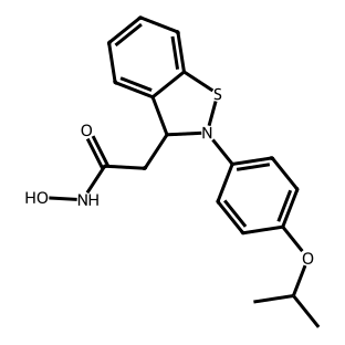 CC(C)Oc1ccc(N2Sc3ccccc3C2CC(=O)NO)cc1